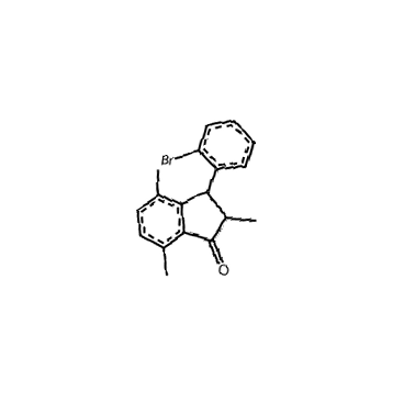 Cc1ccc(C)c2c1C(=O)C(C)C2c1ccccc1Br